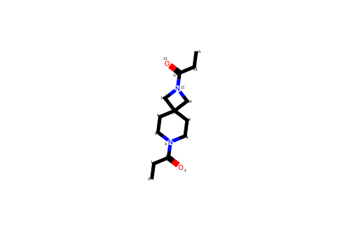 CCC(=O)N1CCC2(CC1)CN(C(=O)CC)C2